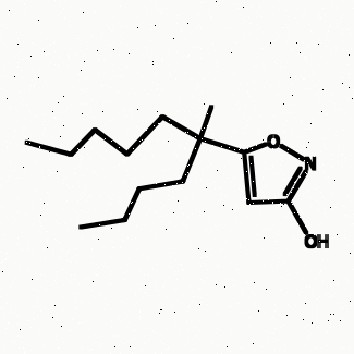 CCCCCC(C)(CCCC)c1cc(O)no1